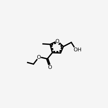 CCOC(=O)c1cc(CO)oc1C